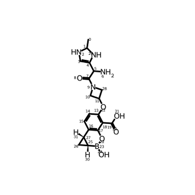 CC1NC=C(C(N)C(=O)N2CC(Oc3ccc4c(c3C(=O)O)OB(O)[C@@H]3C[C@H]43)C2)N1